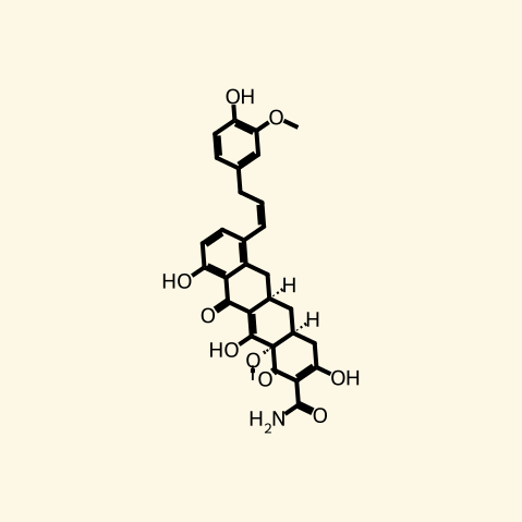 COc1cc(C/C=C\c2ccc(O)c3c2C[C@H]2C[C@H]4CC(O)=C(C(N)=O)C(=O)[C@@]4(OI)C(O)=C2C3=O)ccc1O